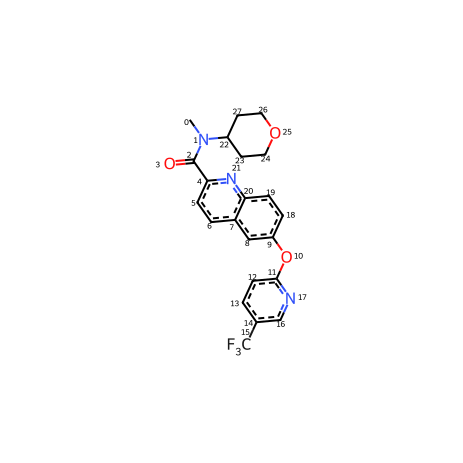 CN(C(=O)c1ccc2cc(Oc3ccc(C(F)(F)F)cn3)ccc2n1)C1CCOCC1